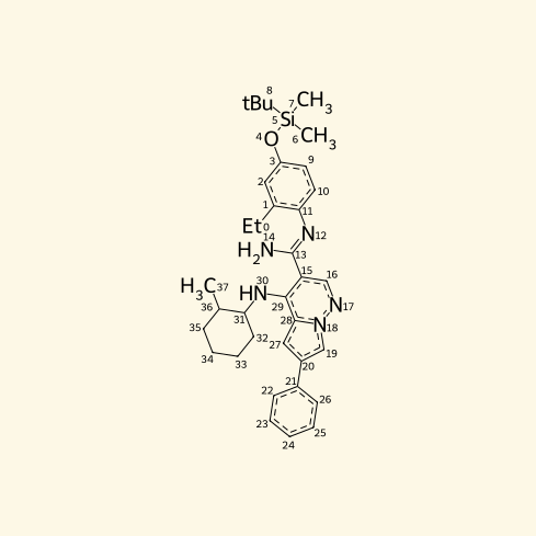 CCc1cc(O[Si](C)(C)C(C)(C)C)ccc1/N=C(\N)c1cnn2cc(-c3ccccc3)cc2c1NC1CCCCC1C